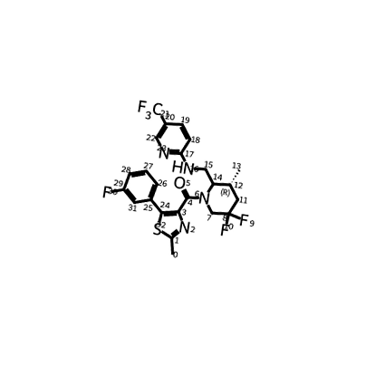 Cc1nc(C(=O)N2CC(F)(F)C[C@@H](C)C2CNc2ccc(C(F)(F)F)cn2)c(-c2cccc(F)c2)s1